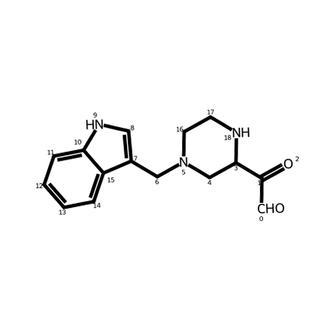 O=CC(=O)C1CN(Cc2c[nH]c3ccccc23)CCN1